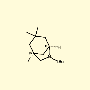 CC1(C)C[C@@H]2C[C@@](C)(CN2C(C)(C)C)C1